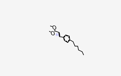 CCCCCCc1ccc(/C=C/C(OC)OC)cc1